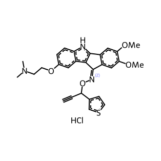 C#CC(O/N=C1/c2cc(OC)c(OC)cc2-c2[nH]c3ccc(OCCN(C)C)cc3c21)c1ccsc1.Cl